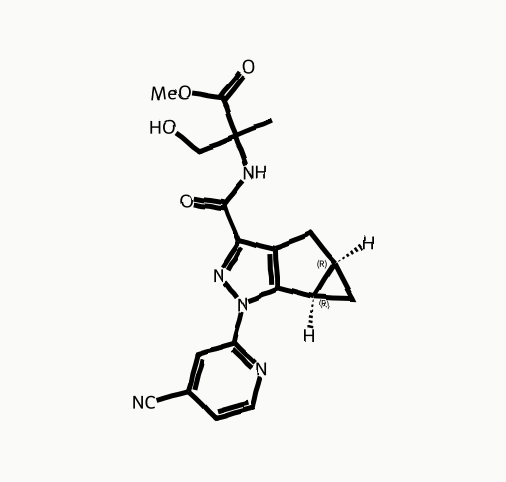 COC(=O)C(C)(CO)NC(=O)c1nn(-c2cc(C#N)ccn2)c2c1C[C@H]1C[C@@H]21